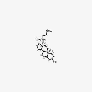 CNCCNC(C)[C@H]1CCC2C3CC=C4CC(O)CC[C@]4(C)C3CC[C@@]21C